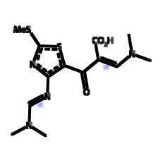 CSc1nc(/N=C/N(C)C)c(C(=O)/C(=C/N(C)C)C(=O)O)s1